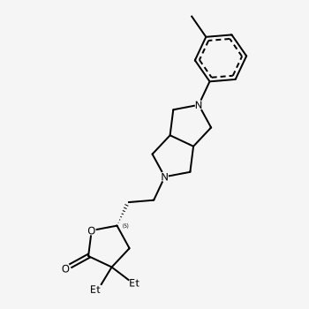 CCC1(CC)C[C@@H](CCN2CC3CN(c4cccc(C)c4)CC3C2)OC1=O